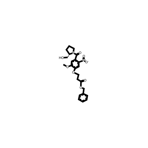 COc1cc(C(=O)N2CCC[C@H]2CO)c([N+](=O)[O-])cc1OCCC(=O)OCc1ccccc1